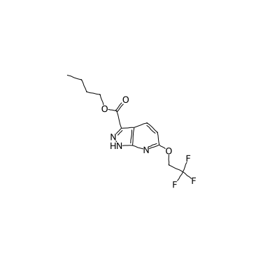 CCCCOC(=O)c1n[nH]c2nc(OCC(F)(F)F)ccc12